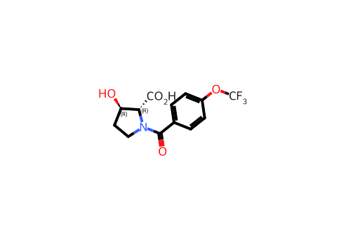 O=C(O)[C@H]1[C@H](O)CCN1C(=O)c1ccc(OC(F)(F)F)cc1